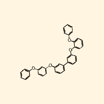 c1ccc(Oc2cccc(Oc3cccc(-c4cccc(Oc5ccccc5Oc5ccccc5)c4)c3)c2)cc1